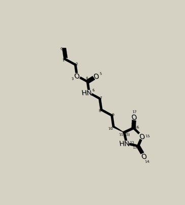 C=CCOC(=O)NCCCC[C@@H]1NC(=O)OC1=O